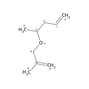 C=CCC(C)OCC(=C)C